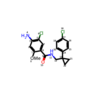 COc1cc(N)c(Cl)cc1C(=O)NCC1(c2ccc(Cl)cc2)CC1